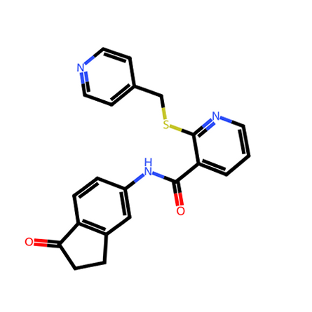 O=C1CCc2cc(NC(=O)c3cccnc3SCc3ccncc3)ccc21